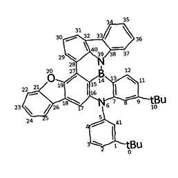 CC(C)(C)c1cccc(N2c3cc(C(C)(C)C)ccc3B3c4c2cc2c(oc5ccccc52)c4-c2cccc4c5ccccc5n3c24)c1